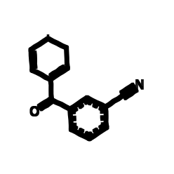 N#Cc1cccc(C(=O)C2=CC[CH]C=C2)c1